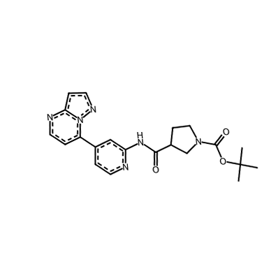 CC(C)(C)OC(=O)N1CCC(C(=O)Nc2cc(-c3ccnc4ccnn34)ccn2)C1